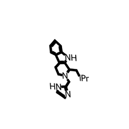 CC(C)CC1c2[nH]c3ccccc3c2CCN1Cc1ncc[nH]1